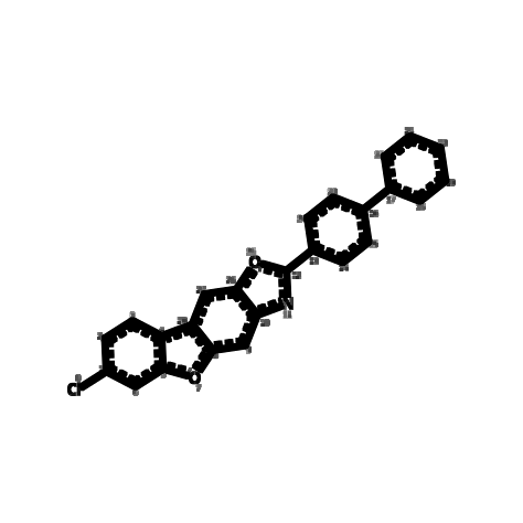 Clc1ccc2c(c1)oc1cc3nc(-c4ccc(-c5ccccc5)cc4)oc3cc12